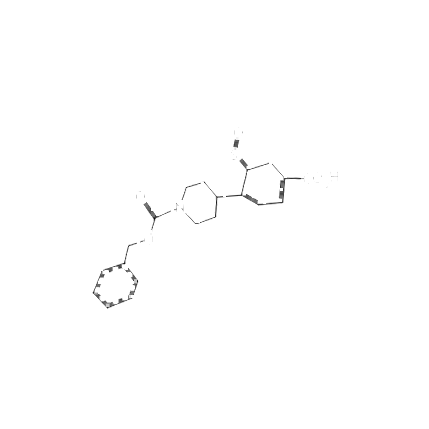 O=S=C1CC(C(=O)O)=CC=C1C1CCN(C(=O)OCc2ccccc2)CC1